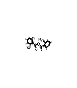 O=C(OC(=O)c1ccccc1Br)c1ccccc1Br